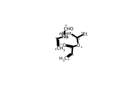 C=CC(=O)OC(CC)CCCCC.C=CNC=O